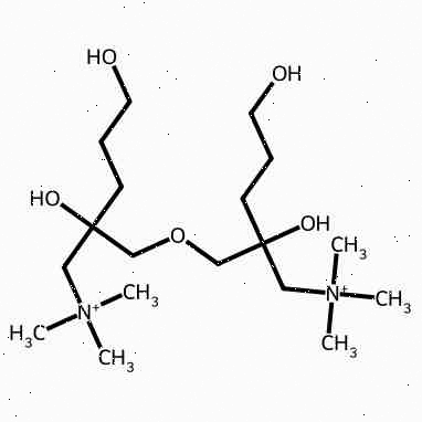 C[N+](C)(C)CC(O)(CCCO)COCC(O)(CCCO)C[N+](C)(C)C